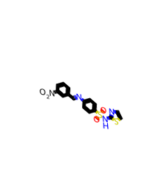 O=[N+]([O-])c1cccc(/C=N/c2ccc(S(=O)(=O)Nc3nccs3)cc2)c1